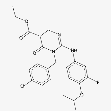 CCOC(=O)C1CN=C(Nc2ccc(OC(C)C)c(F)c2)N(Cc2ccc(Cl)cc2)C1=O